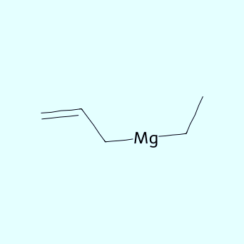 C=C[CH2][Mg][CH2]C